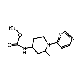 CC1CC(NC(=O)OC(C)(C)C)CCN1c1ccncn1